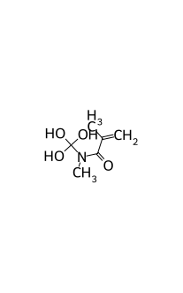 C=C(C)C(=O)N(C)C(O)(O)O